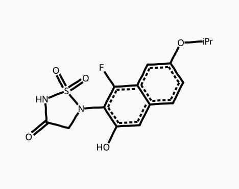 CC(C)Oc1ccc2cc(O)c(N3CC(=O)NS3(=O)=O)c(F)c2c1